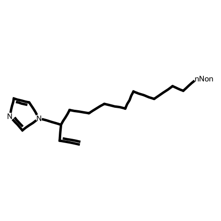 C=CC(CCCCCCCCCCCCCCCCC)n1ccnc1